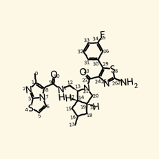 Cc1nc2sccn2c1C(=O)NC[C@@H]1[C@H]2CC(C)C[C@H]2CN1C(=O)c1nc(N)sc1-c1cccc(F)c1